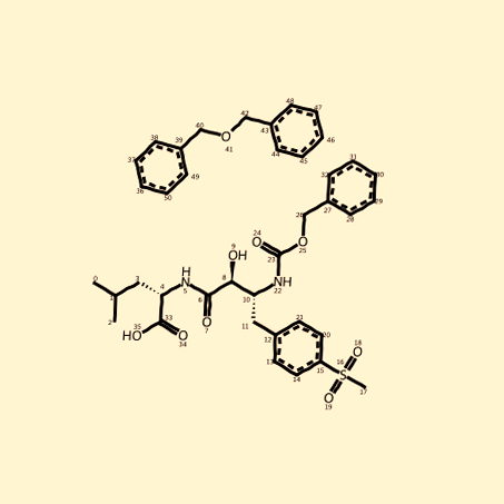 CC(C)C[C@H](NC(=O)[C@@H](O)[C@@H](Cc1ccc(S(C)(=O)=O)cc1)NC(=O)OCc1ccccc1)C(=O)O.c1ccc(COCc2ccccc2)cc1